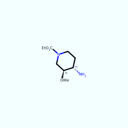 CCOC(=O)N1CC[C@H](N)[C@@H](OC)C1